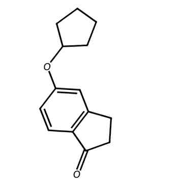 O=C1CCc2cc(OC3CCCC3)ccc21